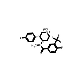 CN(C(=O)c1ccc(F)c(C(F)(F)F)c1)[C@@H]1CCNC[C@H]1c1ccc(F)cc1.Cl